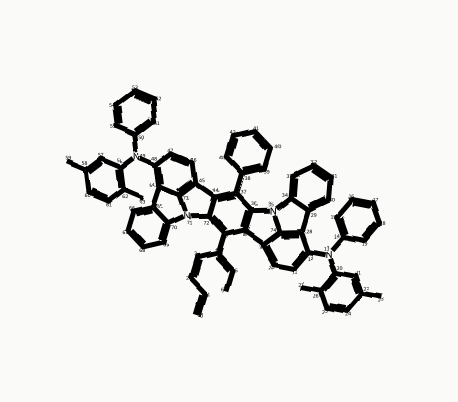 C=C/C=C\C(=C/C)c1c2c3ccc(N(c4ccccc4)c4cc(C)ccc4C)c4c5ccccc5n(c2c(-c2ccccc2)c2c5ccc(N(c6ccccc6)c6cc(C)ccc6C)c6c7ccccc7n(c12)c56)c34